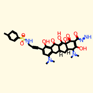 Cc1ccc(S(=O)(=O)NCC#Cc2cc(N(C)C)c3c(c2O)C(=O)C2=C(O)[C@]4(O)C(=O)C(C(=O)N=N)=C(O)C(N(C)C)[C@@H]4C[C@@H]2C3)cc1